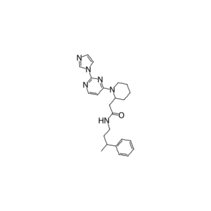 CC(CCNC(=O)CC1CCCCN1c1ccnc(-n2ccnc2)n1)c1ccccc1